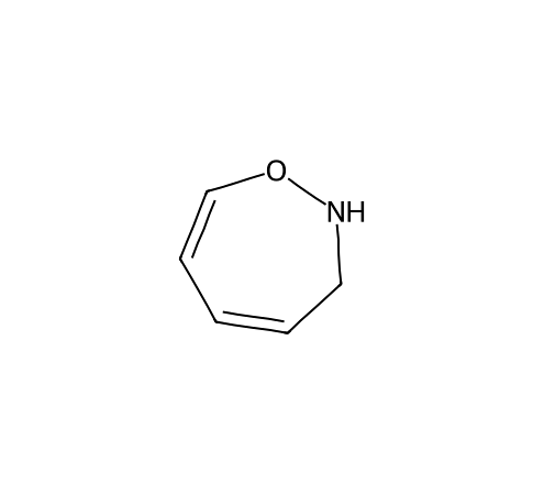 C1=CCNOC=C1